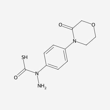 NN(C(=O)S)c1ccc(N2CCOCC2=O)cc1